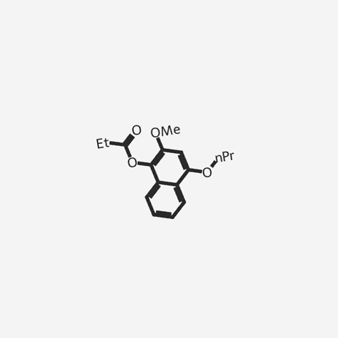 CCCOc1cc(OC)c(OC(=O)CC)c2ccccc12